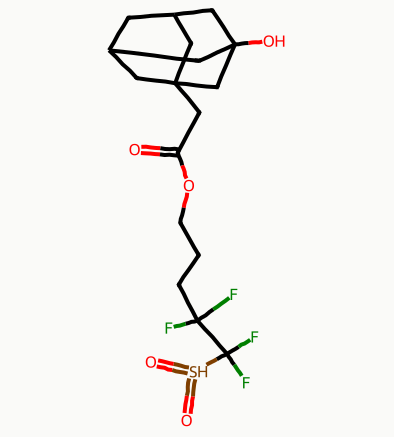 O=C(CC12CC3CC(CC(O)(C3)C1)C2)OCCCC(F)(F)C(F)(F)[SH](=O)=O